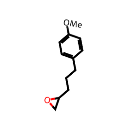 COc1ccc(CCCC2CO2)cc1